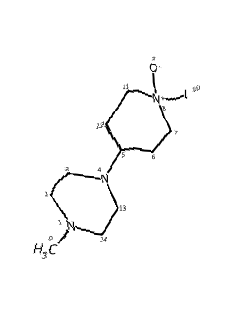 CN1CCN(C2CC[N+]([O-])(I)CC2)CC1